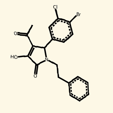 CC(=O)C1=C(O)C(=O)N(CCc2ccccc2)C1c1ccc(Br)c(Cl)c1